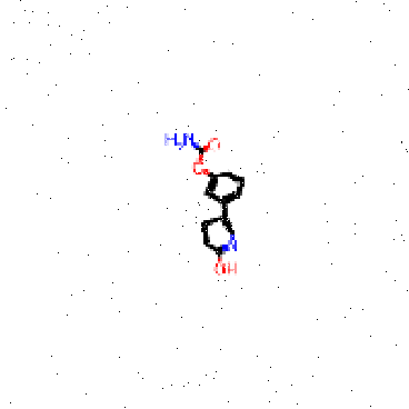 NC(=O)Oc1cccc(-c2ccc(O)nc2)c1